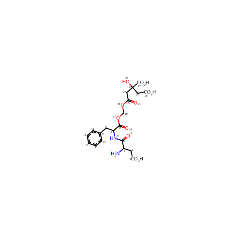 NC(CC(=O)O)C(=O)NC(Cc1ccccc1)C(=O)OCOC(=O)CC(O)(CC(=O)O)C(=O)O